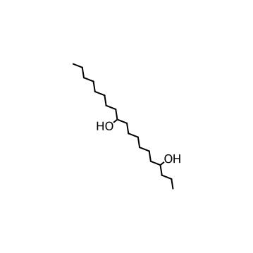 CCCCCCCCC(O)CCCCCCC(O)CCC